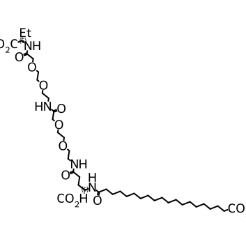 CC[C@H](NC(=O)COCCOCCNC(=O)COCCOCCNC(=O)CC[C@H](NC(=O)CCCCCCCCCCCCCCCCCCC(=O)O)C(=O)O)C(=O)O